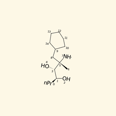 CCC[C@H](O)[C@H](O)[C@@](C)([NH])CC1CCCCC1